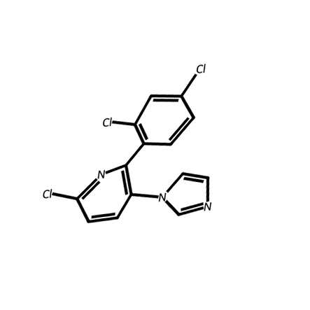 Clc1ccc(-c2nc(Cl)ccc2-n2ccnc2)c(Cl)c1